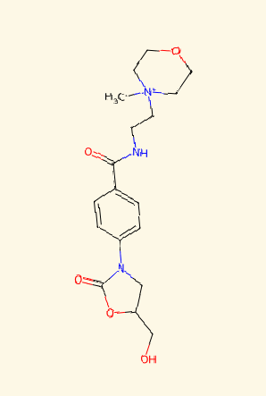 C[N+]1(CCNC(=O)c2ccc(N3CC(CO)OC3=O)cc2)CCOCC1